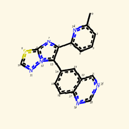 Cc1cccc(-c2nc3scnn3c2-c2ccc3ncncc3c2)n1